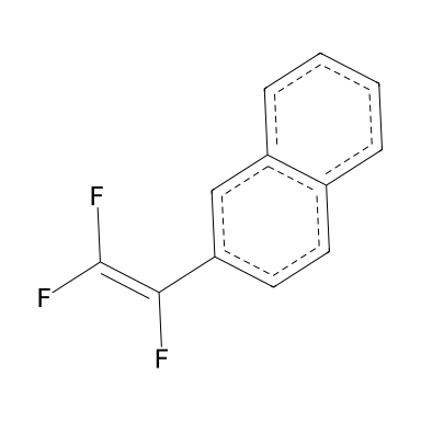 FC(F)=C(F)c1ccc2ccccc2c1